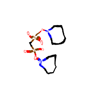 O=S(=O)(CS(=O)(=O)ON1CCCCC1)ON1CCCCC1